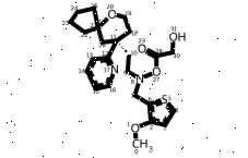 COc1ccsc1CN(CC[C@@]1(c2ccccn2)CCOC2(CCCC2)C1)OC(=O)CO